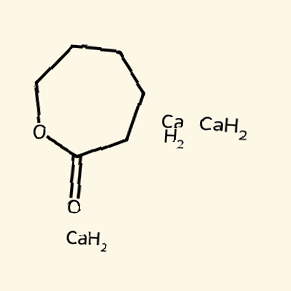 O=C1CCCCCO1.[CaH2].[CaH2].[CaH2]